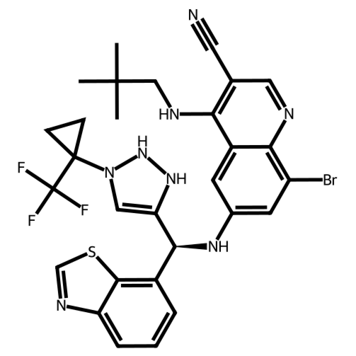 CC(C)(C)CNc1c(C#N)cnc2c(Br)cc(N[C@H](C3=CN(C4(C(F)(F)F)CC4)NN3)c3cccc4ncsc34)cc12